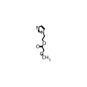 COCC(=O)OCCn1ccnc1